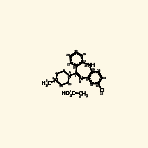 CC(=O)O.CN1CCN(C2=Nc3cc(Cl)ccc3Nc3ccccc32)CC1